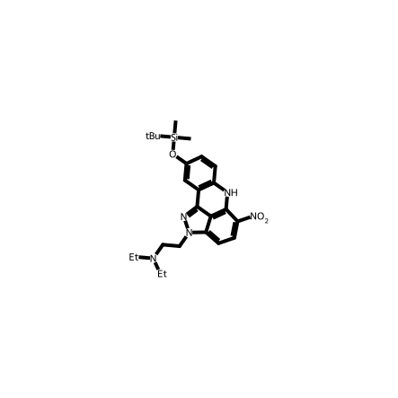 CCN(CC)CCn1nc2c3c(c([N+](=O)[O-])ccc31)Nc1ccc(O[Si](C)(C)C(C)(C)C)cc1-2